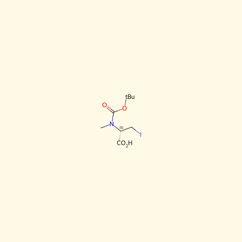 CN(C(=O)OC(C)(C)C)[C@H](CI)C(=O)O